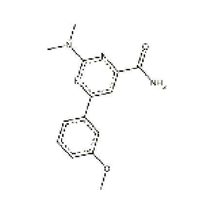 COc1cccc(-c2cc(C(N)=O)nc(N(C)C)n2)c1